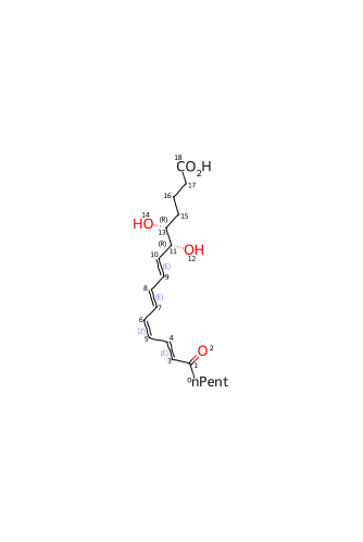 CCCCCC(=O)/C=C/C=C\C=C\C=C\[C@@H](O)[C@H](O)CCCC(=O)O